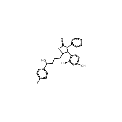 O=C1SC(CCCC(O)c2ccc(F)cc2)C(c2ccc(O)cc2O)N1c1ccccc1